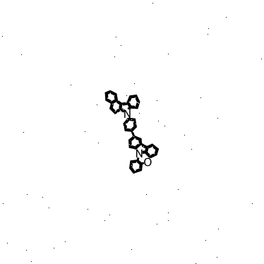 c1ccc2c(c1)Oc1cccc3c4cc(-c5ccc(-n6c7ccccc7c7c8ccccc8ccc76)cc5)ccc4n-2c13